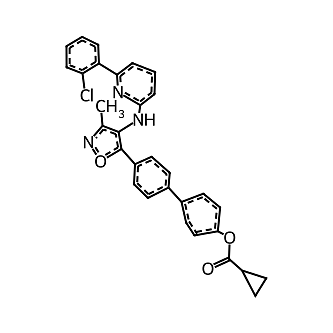 Cc1noc(-c2ccc(-c3ccc(OC(=O)C4CC4)cc3)cc2)c1Nc1cccc(-c2ccccc2Cl)n1